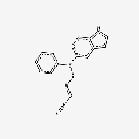 O=B/C=N/CC(c1ccccc1)c1ccc2[nH]ccc2c1